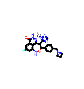 Cn1ncnc1C1c2n[nH]c(=O)c3cc(F)cc(c23)NOC1c1ccc(CN2CCC2)cc1